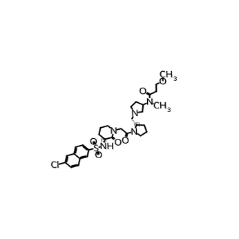 COCCC(=O)N(C)C1CCN(C[C@@H]2CCCN2C(=O)CN2CCC[C@H](NS(=O)(=O)c3ccc4cc(Cl)ccc4c3)C2=O)C1